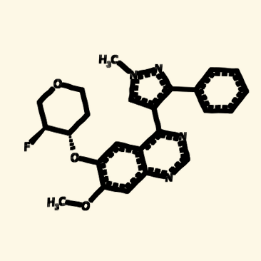 COc1cc2ncnc(-c3cn(C)nc3-c3ccccc3)c2cc1O[C@H]1CCOC[C@@H]1F